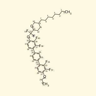 CCCCCCCCC1CCC(C(F)(F)Oc2ccc(-c3ccc(-c4ccc(OCC)c(F)c4F)cc3)c(F)c2F)OC1